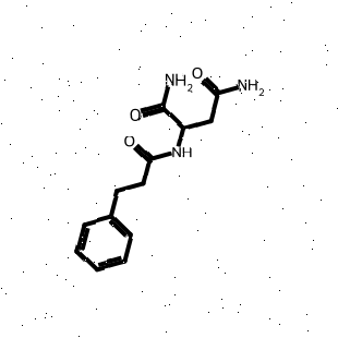 NC(=O)CC(NC(=O)CCc1ccccc1)C(N)=O